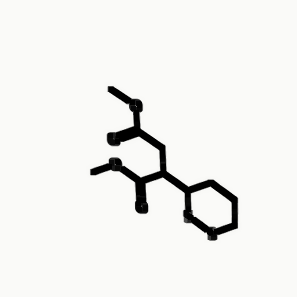 COC(=O)CC(C(=O)OC)C1CCCSS1